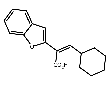 O=C(O)C(=CC1CCCCC1)c1cc2ccccc2o1